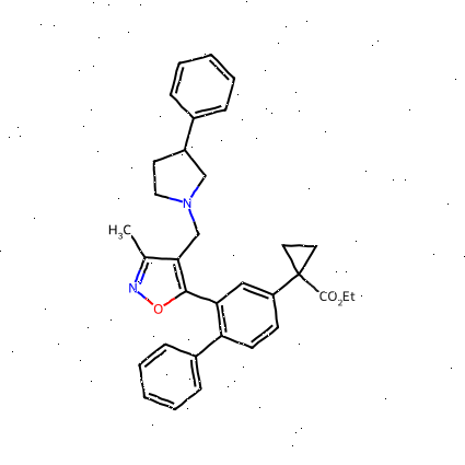 CCOC(=O)C1(c2ccc(-c3ccccc3)c(-c3onc(C)c3CN3CCC(c4ccccc4)C3)c2)CC1